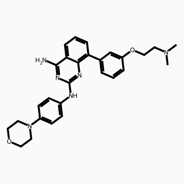 CN(C)CCOc1cccc(-c2cccc3c(N)nc(Nc4ccc(N5CCOCC5)cc4)nc23)c1